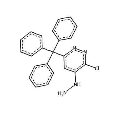 NNc1cc(C(c2ccccc2)(c2ccccc2)c2ccccc2)nnc1Cl